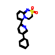 O=S1(=O)CCN2C(c3ccc(-c4ccccc4)cn3)=CC=CC2=N1